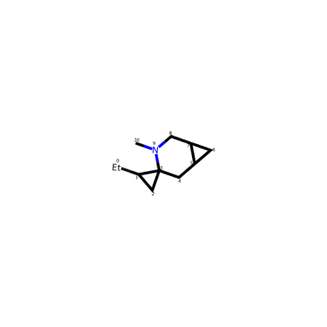 CCC1CC12CC1CC1CN2C